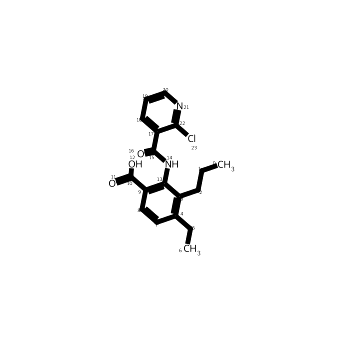 CCCc1c(CC)ccc(C(=O)O)c1NC(=O)c1cccnc1Cl